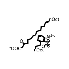 CCCCCCCCC=CCCCCCCCCCC(=O)CC(=O)[O-].CCCCCCCCCCCCc1ccccc1S(=O)(=O)[O-].[Al+2]